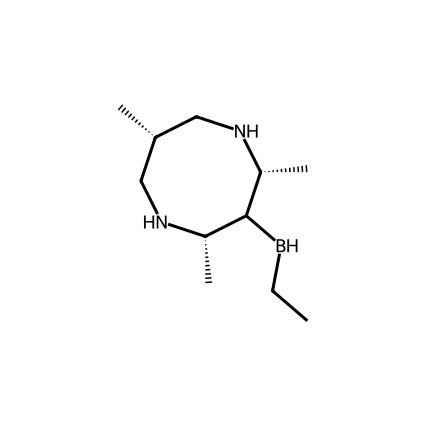 CCBC1[C@H](C)NC[C@H](C)CN[C@@H]1C